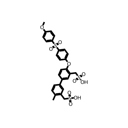 COc1ccc(S(=O)(=O)c2ccc(Oc3ccc(-c4ccc(C)c(CS(=O)(=O)O)c4)cc3CS(=O)(=O)O)cc2)cc1